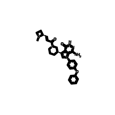 CN1CC[C@@H]1/C=C/C(=O)N1CCC[C@@H](c2cn(-c3ccc(Oc4ccccc4)cc3)c3c(N)n[nH]c(=O)c23)C1